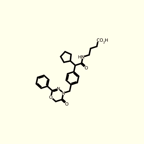 O=C(O)CCCNC(=O)C(c1ccc(CN2N=C(c3ccccc3)OCC2=O)cc1)C1CCCC1